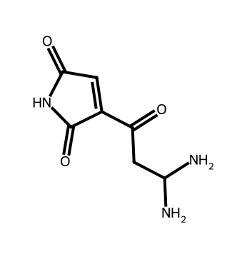 NC(N)CC(=O)C1=CC(=O)NC1=O